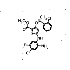 COC(=O)c1sc(Nc2cc(F)c(Cl)cc2N)cc1O[C@H](C)c1ccccc1Cl